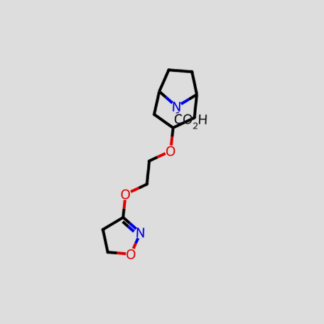 O=C(O)N1C2CCC1CC(OCCOC1=NOCC1)C2